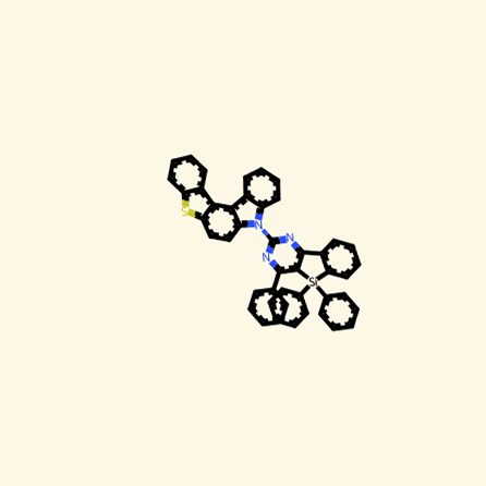 c1ccc(-c2nc(-n3c4ccccc4c4c5c(ccc43)sc3ccccc35)nc3c2[Si](c2ccccc2)(c2ccccc2)c2ccccc2-3)cc1